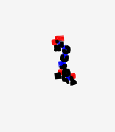 C[C@H]1CCc2c(ccc(-c3cnn(C4CCN(C5CCCN(C6CN(C(=O)O)C6C(C)(C)C)C5)CC4)c3)c2OC2CCC2)N1C(=O)C1CC1